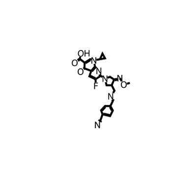 CON=C1CN(c2nc3c(cc2F)c(=O)c(C(=O)O)cn3C2CC2)CC1CN=Cc1ccc(C#N)cc1